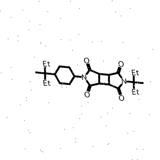 CCC(C)(CC)C1CCC(N2C(=O)C3C(C2=O)C2C(=O)N(C(C)(CC)CC)C(=O)C32)CC1